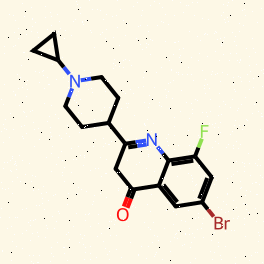 O=C1CC(C2CCN(C3CC3)CC2)=Nc2c(F)cc(Br)cc21